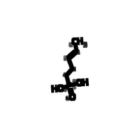 C/C=C/CCP(=O)(O)O